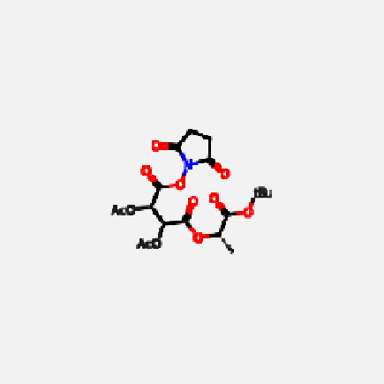 CC(=O)OC(C(=O)O[C@@H](C)C(=O)OC(C)(C)C)[C@@H](OC(C)=O)C(=O)ON1C(=O)CCC1=O